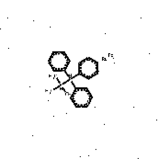 C[PH](C)(C)[PH](c1ccccc1)(c1ccccc1)c1ccccc1.[Pd].[Ru]